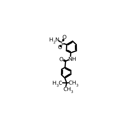 CC(C)(C)c1ccc(C(=O)Nc2cccc(S(N)(=O)=O)c2)cc1